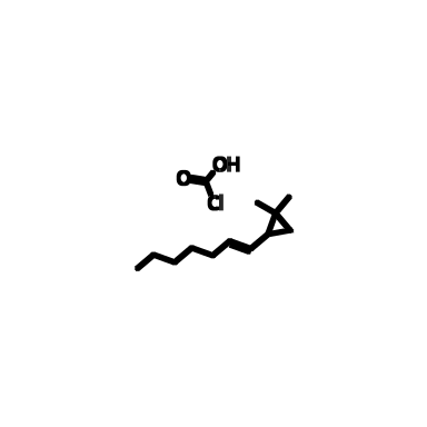 CCCCCC=CC1CC1(C)C.O=C(O)Cl